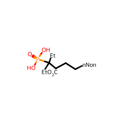 CCCCCCCCCCCCC(CC)(C(=O)OCC)P(=O)(O)O